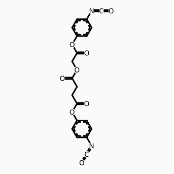 O=C=Nc1ccc(OC(=O)CCC(=O)OCC(=O)Oc2ccc(N=C=O)cc2)cc1